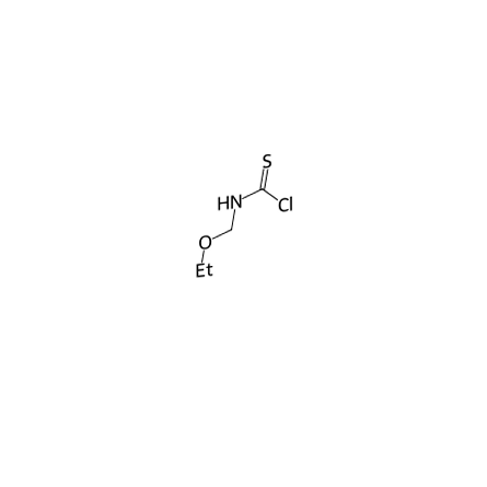 CCOCNC(=S)Cl